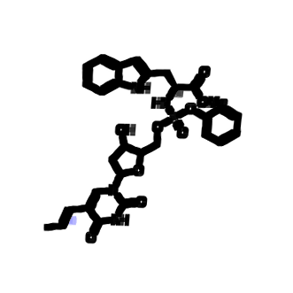 C/C=C/c1cn(C2CC(O)C(COP(=O)(N[C@@H](Cc3cc4ccccc4[nH]3)C(=O)OC)Oc3ccccc3)O2)c(=O)[nH]c1=O